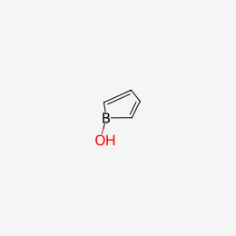 OB1C=CC=C1